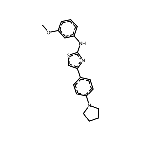 COc1cccc(Nc2nc(-c3ccc(N4CCCC4)cc3)cs2)c1